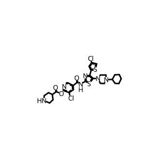 O=C(Nc1nc(-c2cc(Cl)cs2)c(N2CCN(C3CCCCC3)CC2)s1)c1cnc(OC(=O)C2CCNCC2)c(Cl)c1